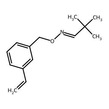 C=Cc1cccc(CON=CC(C)(C)C)c1